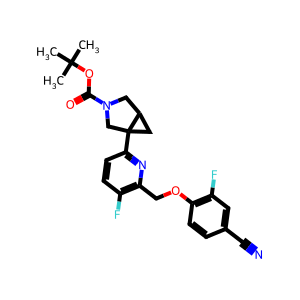 CC(C)(C)OC(=O)N1CC2CC2(c2ccc(F)c(COc3ccc(C#N)cc3F)n2)C1